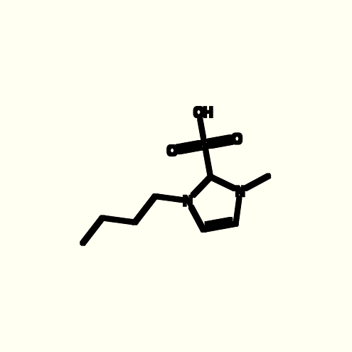 CCCCN1C=CN(C)C1S(=O)(=O)O